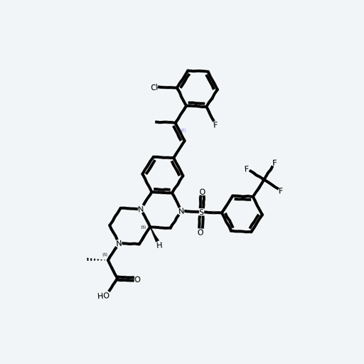 C/C(=C\c1ccc2c(c1)N(S(=O)(=O)c1cccc(C(F)(F)F)c1)C[C@@H]1CN([C@@H](C)C(=O)O)CCN21)c1c(F)cccc1Cl